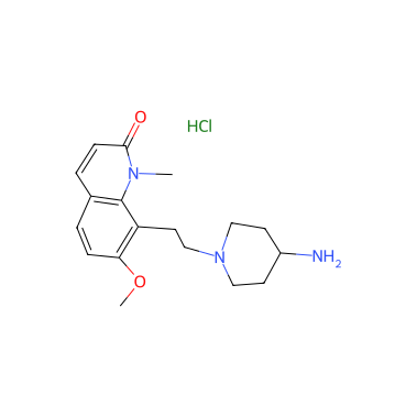 COc1ccc2ccc(=O)n(C)c2c1CCN1CCC(N)CC1.Cl